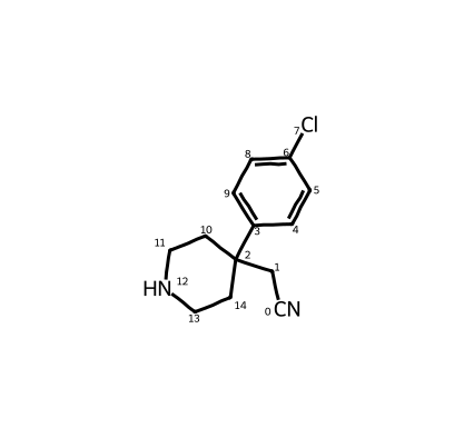 N#CCC1(c2ccc(Cl)cc2)CCNCC1